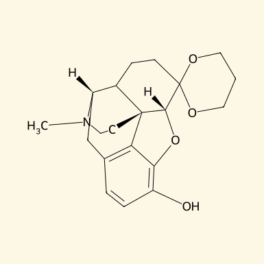 CN1CC[C@]23c4c5ccc(O)c4O[C@H]2C2(CCC3[C@H]1C5)OCCCO2